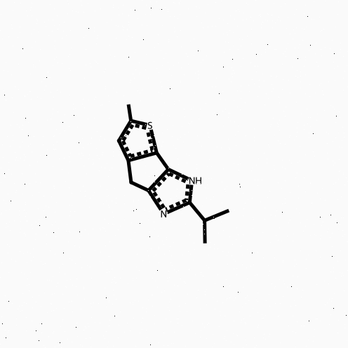 Cc1cc2c(s1)-c1[nH]c(C(C)C)nc1C2